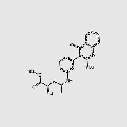 CCCCc1nc2ccccn2c(=O)c1-c1cccc(NC(C)CC(=N)C(=O)OC(C)(C)C)c1